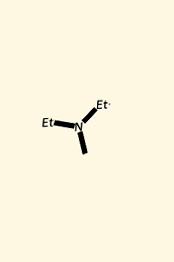 C[CH]N(C)CC